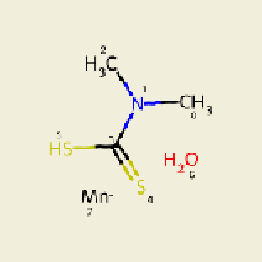 CN(C)C(=S)S.O.[Mn]